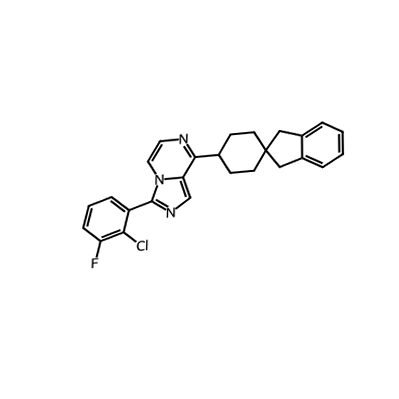 Fc1cccc(-c2ncc3c(C4CCC5(CC4)Cc4ccccc4C5)nccn23)c1Cl